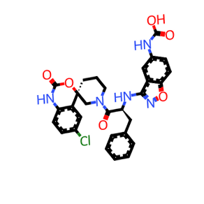 O=C(O)Nc1ccc2onc(N[C@@H](Cc3ccccc3)C(=O)N3CCC[C@@]4(C3)OC(=O)Nc3ccc(Cl)cc34)c2c1